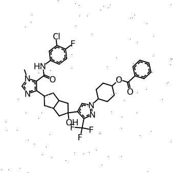 Cn1cnc(C2CC3CC(O)(c4cn(C5CCC(OC(=O)c6ccccc6)CC5)nc4C(F)(F)F)CC3C2)c1C(=O)Nc1ccc(F)c(Cl)c1